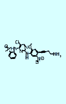 COc1cc(C#CCCN)c([N+](=O)[O-])cc1Nc1ncc(Cl)c(Nc2ccccc2P(C)(C)=O)n1